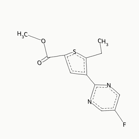 CCc1sc(C(=O)OC)cc1-c1ncc(F)cn1